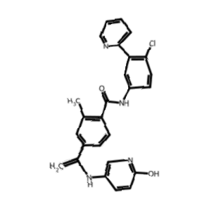 C=C(Nc1ccc(O)nc1)c1ccc(C(=O)Nc2ccc(Cl)c(-c3ccccn3)c2)c(C)c1